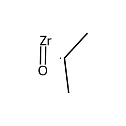 C[CH]C.[O]=[Zr]